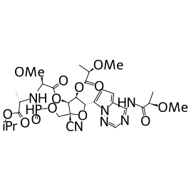 CO[C@H](C)C(=O)Nc1ncnn2c([C@@H]3O[C@](C#N)(CO[PH](=O)N[C@@H](C)C(=O)OC(C)C)[C@@H](OC(=O)[C@@H](C)OC)[C@H]3OC(=O)[C@@H](C)OC)ccc12